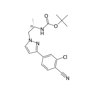 C[C@@H](Cn1ccc(-c2ccc(C#N)c(Cl)c2)n1)NC(=O)OC(C)(C)C